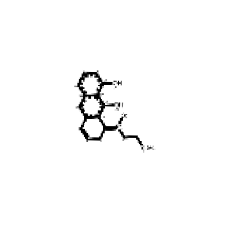 CCCCCCCCCCCC/[P+]([O-])=C1\CC=Cc2cc3cccc(O)c3c(O)c21